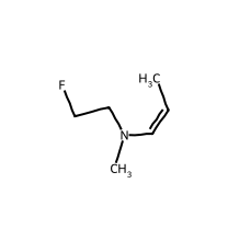 C/C=C\N(C)CCF